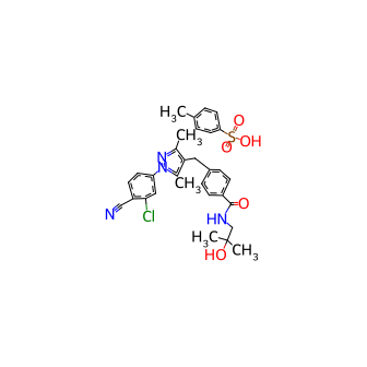 Cc1ccc(S(=O)(=O)O)cc1.Cc1nn(-c2ccc(C#N)c(Cl)c2)c(C)c1Cc1ccc(C(=O)NCC(C)(C)O)cc1